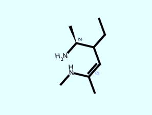 CCC(/C=C(/C)NC)[C@H](C)N